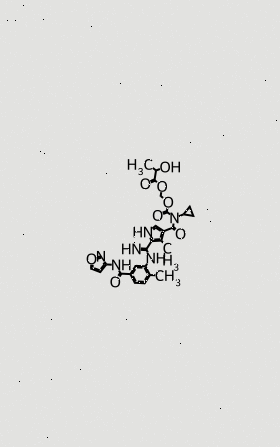 Cc1ccc(C(=O)Nc2ccon2)cc1NC(=N)c1[nH]cc(C(=O)N(C(=O)OCOC(=O)C(C)O)C2CC2)c1C